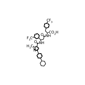 Cn1nc(-c2ccc(C3CCCCC3)cc2)cc1C(=O)NC(CC(=O)N[C@@H](Cc1ccc(C(F)(F)F)cc1)C(=O)O)c1cccc(C(F)(F)F)c1